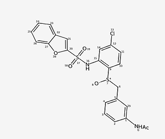 CC(=O)Nc1cccc(C[S+]([O-])c2ccc(Cl)cc2NS(=O)(=O)c2cc3ccccc3o2)c1